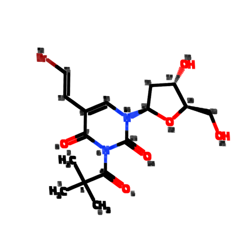 CC(C)(C)C(=O)n1c(=O)c(C=CBr)cn([C@H]2C[C@H](O)[C@@H](CO)O2)c1=O